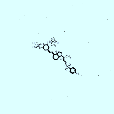 Cc1ccc(S(=O)(=O)OCC[C@@H](C)[C@H]2CC[C@H]3/C(=C/C=C4C[C@@H](O[Si](C)(C)C(C)(C)C)C[C@H](O[Si](C)(C)C(C)(C)C)C4)CCC[C@]23C)cc1